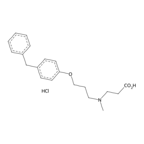 CN(CCCOc1ccc(Cc2ccccc2)cc1)CCC(=O)O.Cl